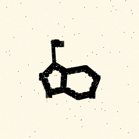 CC(C)(C)c1snc2cnccc12